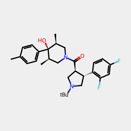 Cc1ccc([C@@]2(O)[C@H](C)CN(C(=O)[C@@H]3CN(C(C)(C)C)C[C@H]3c3ccc(F)cc3F)C[C@@H]2C)cc1